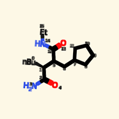 CCCC[C@H](C(N)=O)C(CC1CCCC1)C(=O)NCC